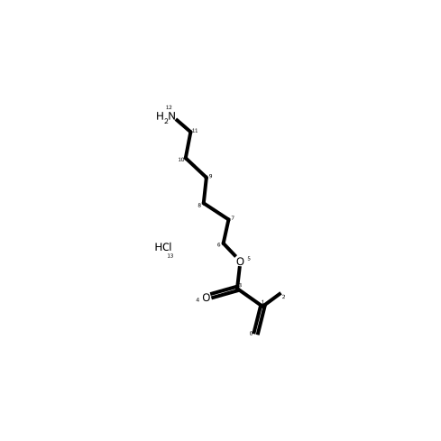 C=C(C)C(=O)OCCCCCCN.Cl